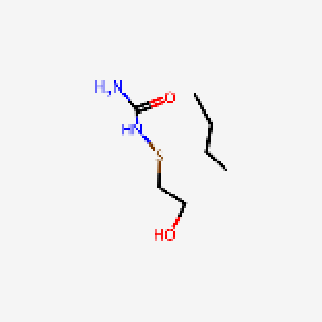 CCCC.NC(=O)NSCCO